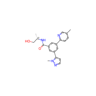 Cc1ccc(-c2cc(C(=O)N[C@@H](C)CO)cc(-c3ccnn3C)c2)nc1